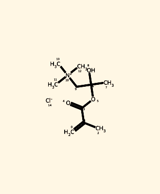 C=C(C)C(=O)OC(C)(O)C[N+](C)(C)C.[Cl-]